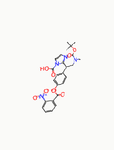 CN(CC(c1ccc(OC(=O)c2ccccc2[N+](=O)[O-])cc1)c1nccn1C(=O)O)C(=O)OC(C)(C)C